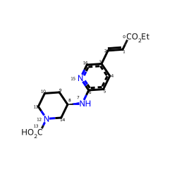 CCOC(=O)C=Cc1ccc(N[C@@H]2CCCN(C(=O)O)C2)nc1